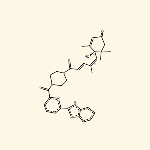 CC1=CC(=O)CC(C)(C)[C@]1(O)/C=C(C)\C=C\C(=O)N1CCN(C(=O)c2cccc(-c3nc4ccccc4[nH]3)n2)CC1